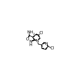 N=c1c(C(N)=O)cc(Cl)cn1Cc1ccc(Cl)nc1